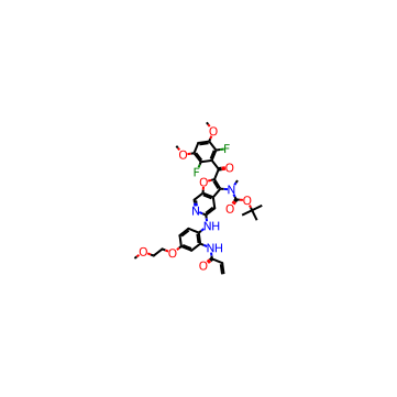 C=CC(=O)Nc1cc(OCCOC)ccc1Nc1cc2c(N(C)C(=O)OC(C)(C)C)c(C(=O)c3c(F)c(OC)cc(OC)c3F)oc2cn1